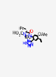 C=Cc1cc(-c2nn[nH]n2)c(NC(=O)[C@@H](CC(C)C)N(C(=O)O)C(C)(C)C)cc1OC